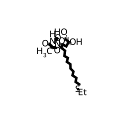 CCSCCCCCCCCCCCC(=O)[C@]1(n2cc(C)c(=O)[nH]c2=O)C[C@H](O)[C@@H](CO)O1